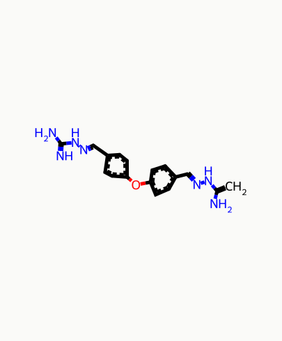 C=C(N)N/N=C/c1ccc(Oc2ccc(/C=N/NC(=N)N)cc2)cc1